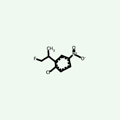 C[C](CF)c1cc([N+](=O)[O-])ccc1Cl